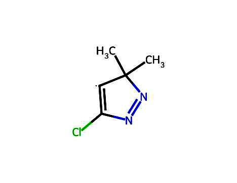 CC1(C)[C]=C(Cl)N=N1